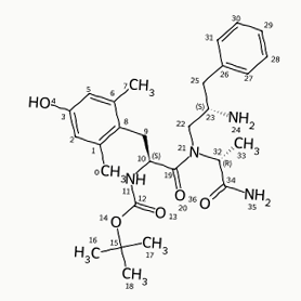 Cc1cc(O)cc(C)c1C[C@H](NC(=O)OC(C)(C)C)C(=O)N(C[C@@H](N)Cc1ccccc1)[C@H](C)C(N)=O